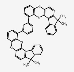 CC1(C)c2ccccc2-c2c1ccc1c2Oc2c(cccc2-c2cccc(-c3cccc4c3Sc3c(ccc5c3-c3ccccc3C5(C)C)S4)c2)O1